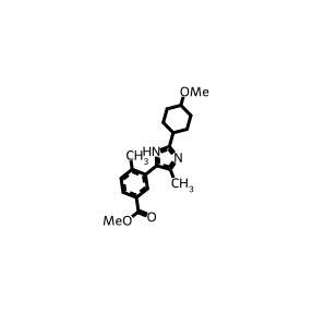 COC(=O)c1ccc(C)c(-c2[nH]c(C3CCC(OC)CC3)nc2C)c1